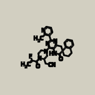 C=C(F)C(=O)N1CCN(c2nc(-c3cccnc3C)nc3c2NC(=O)C2(CCCc4ccccc42)C3)CC1CC#N